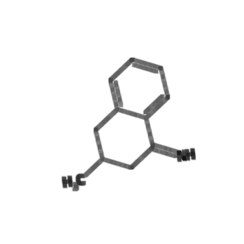 CC1CC(=N)c2ccccc2C1